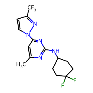 Cc1cc(-n2ccc(C(F)(F)F)n2)nc(NC2CCC(F)(F)CC2)n1